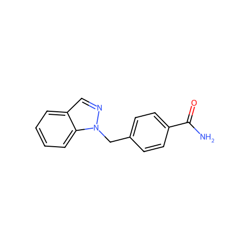 NC(=O)c1ccc(Cn2ncc3ccccc32)cc1